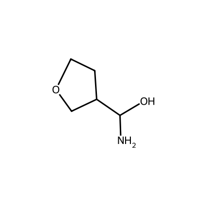 NC(O)C1CCOC1